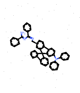 N/C(=N\C(=N/Cc1ccc2c(c1)C1(c3ccccc3-c3ccccc31)c1cc(N(c3ccccc3)c3ccccc3)ccc1-2)c1ccccc1)c1ccccc1